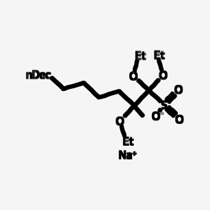 CCCCCCCCCCCCCCC(C)(OCC)C(OCC)(OCC)S(=O)(=O)[O-].[Na+]